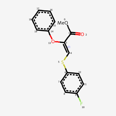 COC(=O)/C(=C/Sc1ccc(F)cc1)Oc1ccccc1